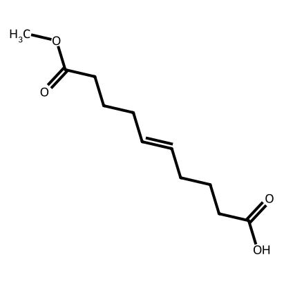 COC(=O)CCCC=CCCCC(=O)O